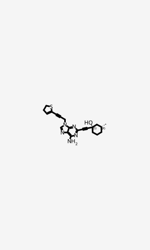 C[C@@H]1CCC[C@@](O)(C#Cc2nc(N)c3ncn(CC#CC4=CCCS4)c3n2)C1